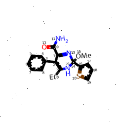 CCC1=C(c2ccccc2)C(C(N)=O)=NC(OC)(c2cccs2)N1